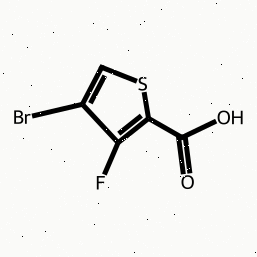 O=C(O)c1scc(Br)c1F